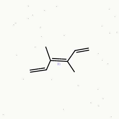 C=C/C(C)=C(\C)C=C